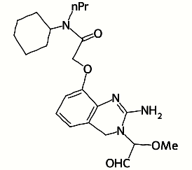 CCCN(C(=O)COc1cccc2c1N=C(N)N(C(C=O)OC)C2)C1CCCCC1